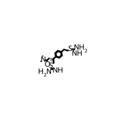 CN(C)C(=O)C[C@@H](CSC(=N)N)c1ccc(CCSC(=N)N)cc1